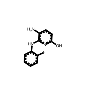 Nc1ccc(O)nc1Nc1ccccc1F